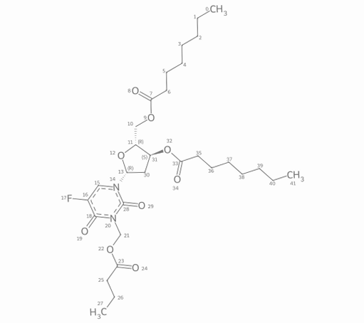 CCCCCCCC(=O)OC[C@H]1O[C@@H](n2cc(F)c(=O)n(COC(=O)CCC)c2=O)C[C@@H]1OC(=O)CCCCCCC